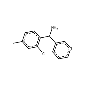 Cc1ccc(C(N)c2cccnc2)c(Cl)c1